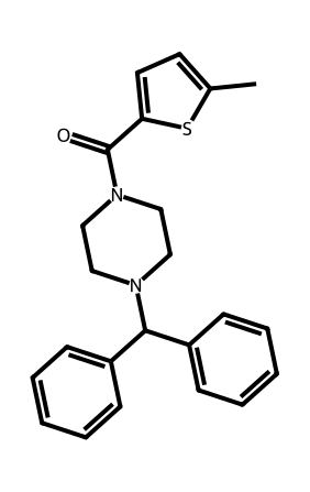 Cc1ccc(C(=O)N2CCN(C(c3ccccc3)c3ccccc3)CC2)s1